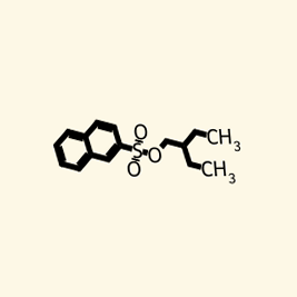 CCC(CC)COS(=O)(=O)c1ccc2ccccc2c1